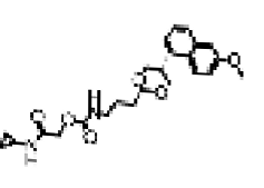 COc1ccc2c(cccc2[C@H]2CO[C@H](CCCNC(=O)OCC(=O)NC3CC3)OC2)c1